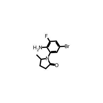 CC1CCC(=O)N1c1cc(Br)cc(F)c1N